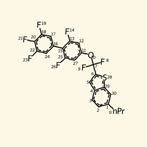 CCCc1ccc2cc(C(F)(F)Oc3cc(F)c(-c4cc(F)c(F)c(F)c4)c(F)c3)sc2c1